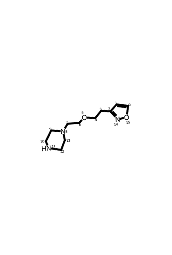 c1cc(CCOCCN2CCNCC2)no1